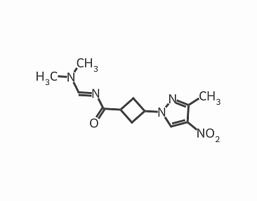 Cc1nn(C2CC(C(=O)N=CN(C)C)C2)cc1[N+](=O)[O-]